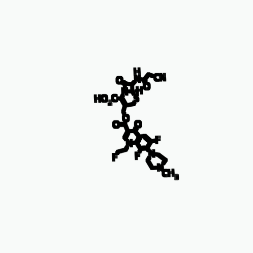 CN1CCN(c2c(F)cc3c(=O)c(C(=O)OCC4=C(C(=O)O)N5C(=O)C(NC(=O)CC#N)[C@H]5SC4)cn(CCF)c3c2F)CC1